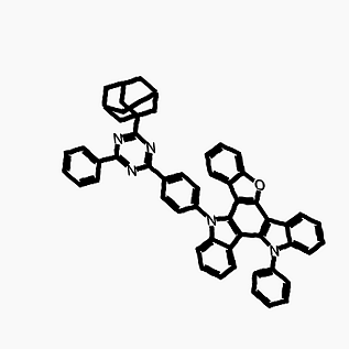 c1ccc(-c2nc(-c3ccc(-n4c5ccccc5c5c6c(c7ccccc7n6-c6ccccc6)c6oc7ccccc7c6c54)cc3)nc(C34CC5CC(CC(C5)C3)C4)n2)cc1